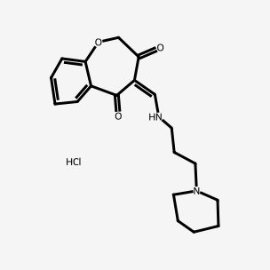 Cl.O=C1COc2ccccc2C(=O)/C1=C\NCCCN1CCCCC1